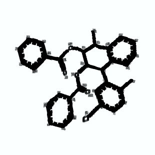 Cc1ccc(Cl)cc1C1c2ccccc2C(C)C(OC(=O)c2ccccc2)C1OC(=O)c1ccccc1